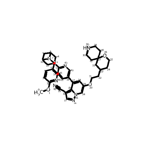 COc1ccc(CN2C3CC2CN(c2ccc(-c4cc(OCCC5CCOC6(CCNCC6)C5)cn5ncc(C#N)c45)cn2)C3)cn1